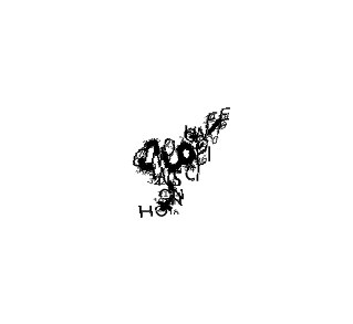 C[C@H](NS(=O)(=O)c1ccc(-c2sc(-c3nnc(C(C)(C)O)o3)nc2C(=O)N2CCOC[C@@H]2C)c(Cl)c1Cl)C(F)(F)F